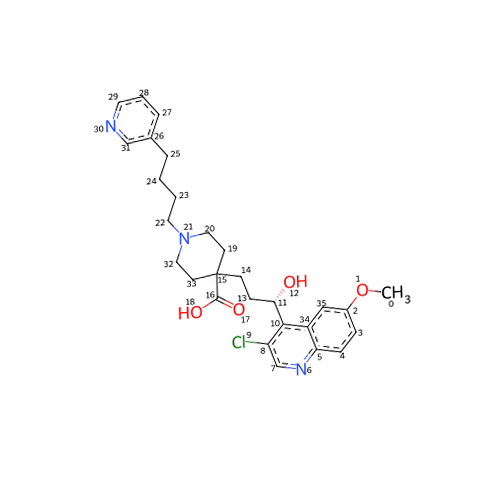 COc1ccc2ncc(Cl)c([C@@H](O)CCC3(C(=O)O)CCN(CCCCc4cccnc4)CC3)c2c1